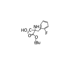 CC(C)(C)OC(=O)C(N)(Cc1ccccc1F)C(=O)O